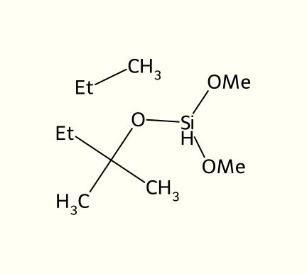 CCC.CCC(C)(C)O[SiH](OC)OC